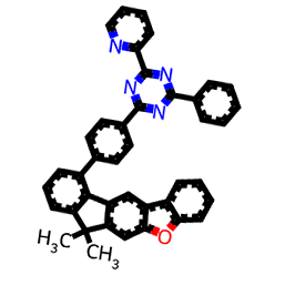 CC1(C)c2cc3oc4ccccc4c3cc2-c2c(-c3ccc(-c4nc(-c5ccccc5)nc(-c5ccccn5)n4)cc3)cccc21